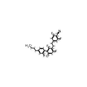 CCCCc1ccc(-c2c([O])cc(F)c(CCc3cc(F)c(C#N)c(F)c3)c2F)c(F)c1